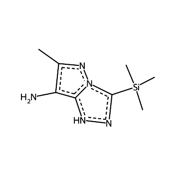 Cc1nn2c([Si](C)(C)C)n[nH]c2c1N